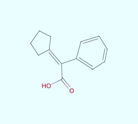 O=C(O)C(=C1CCCC1)c1ccccc1